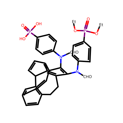 CCOP(=O)(OCC)c1ccc(N(C=O)c2c3c4c5c(c2N(C=O)c2ccc(P(=O)(O)O)cc2)C=Cc2ccc(c(c2)C4C=C5)CC3)cc1